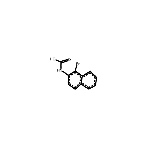 O=C(O)Nc1ccc2ccccc2c1Br